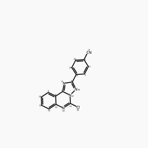 N#Cc1ccc(-c2nc3c4ccccc4nc(Cl)n3n2)cc1